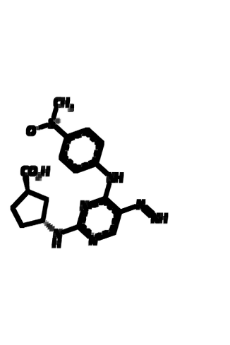 C[S+]([O-])c1ccc(Nc2nc(N[C@@H]3CC[C@@H](C(=O)O)C3)ncc2N=N)cc1